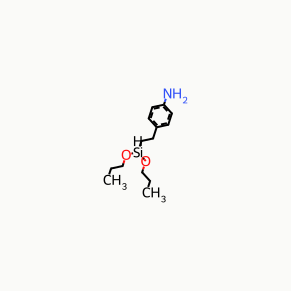 CCCO[SiH](CCc1ccc(N)cc1)OCCC